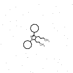 CCCCC1C(C2CCCCCCCC2)=NN(C2CCCCCCCC2)C1CCC